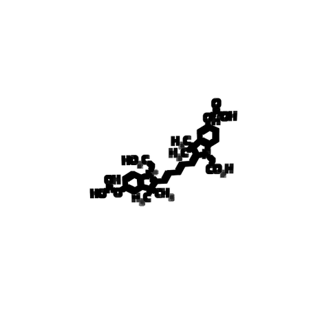 CC1(C)C(/C=C/C=C/C=C2/N(CC(=O)O)c3ccc(O[PH](=O)O)cc3C2(C)C)=[N+](CC(=O)O)c2ccc(OP(O)O)cc21